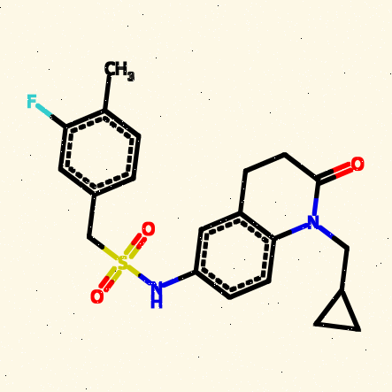 Cc1ccc(CS(=O)(=O)Nc2ccc3c(c2)CCC(=O)N3CC2CC2)cc1F